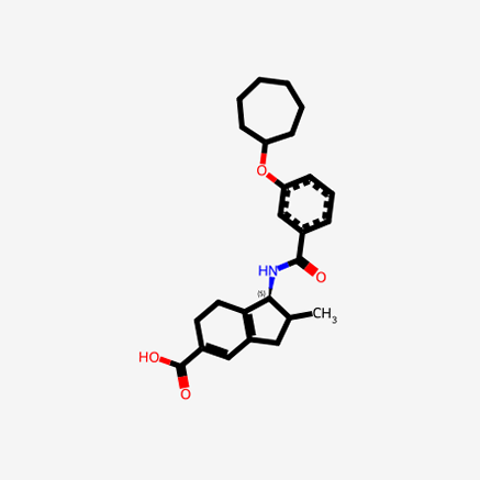 CC1CC2=C(CCC(C(=O)O)=C2)[C@H]1NC(=O)c1cccc(OC2CCCCCC2)c1